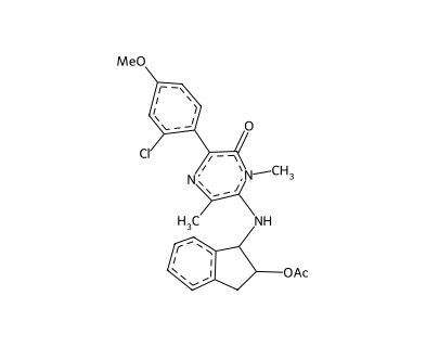 COc1ccc(-c2nc(C)c(NC3c4ccccc4CC3OC(C)=O)n(C)c2=O)c(Cl)c1